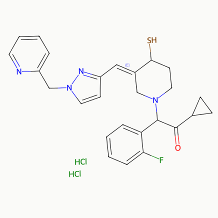 Cl.Cl.O=C(C1CC1)C(c1ccccc1F)N1CCC(S)/C(=C/c2ccn(Cc3ccccn3)n2)C1